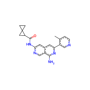 Cc1ccncc1-c1cc2cc(NC(=O)C3CC34CC4)ncc2c(N)n1